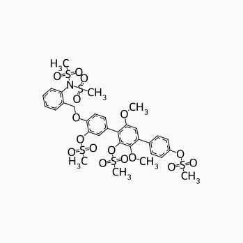 COc1cc(-c2ccc(OS(C)(=O)=O)cc2)c(OC)c(OS(C)(=O)=O)c1-c1ccc(OCc2ccccc2N(S(C)(=O)=O)S(C)(=O)=O)c(OS(C)(=O)=O)c1